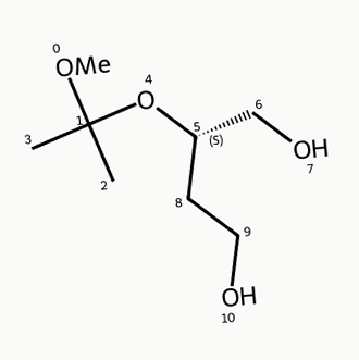 COC(C)(C)O[C@H](CO)CCO